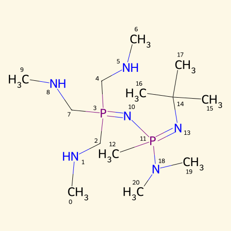 CNCP(CNC)(CNC)=NP(C)(=NC(C)(C)C)N(C)C